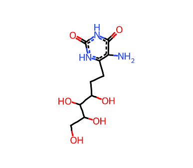 Nc1c(CCC(O)C(O)C(O)CO)[nH]c(=O)[nH]c1=O